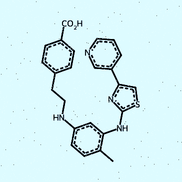 Cc1ccc(NCCc2ccc(C(=O)O)cc2)cc1Nc1nc(-c2cccnc2)cs1